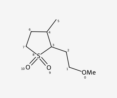 COCCC1C(C)CCS1(=O)=O